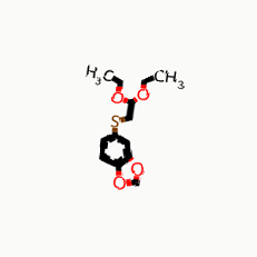 CCOC(CSc1ccc2c(c1)OCO2)OCC